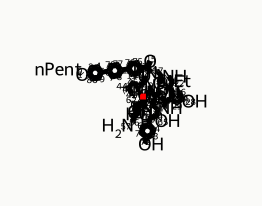 CCCCCOc1ccc(-c2ccc(-c3ccc(C(=O)NCC(=O)NC(CC)C(=O)N4C[C@H](O)CC4C(=O)NC(C(=O)NC(C(=O)N4C[C@H](C)CC4C(=O)NC(OCCOCCN)[C@@H](C)O)[C@@H](C)O)[C@H](O)[C@@H](O)c4ccc(O)cc4)cc3)cc2)cc1